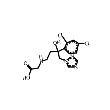 O=C(O)CNCCC(O)(Cn1cncn1)c1ccc(Cl)cc1Cl